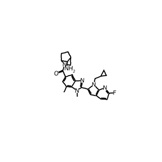 Cc1cc(C(=O)N2CC3CCC2C3N)cc2nc(-c3cc4ccc(F)nc4n3CC3CC3)n(C)c12